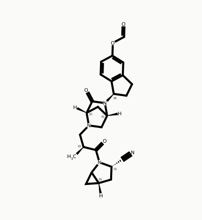 C[C@@H](CN1C[C@@H]2C[C@H]1C(=O)N2[C@@H]1CCc2cc(OC=O)ccc21)C(=O)N1C2C[C@H]2C[C@H]1C#N